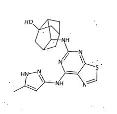 Cc1cc(Nc2nc(NC3C4CC5CC3C(O)(C5)C4)nc3scnc23)n[nH]1